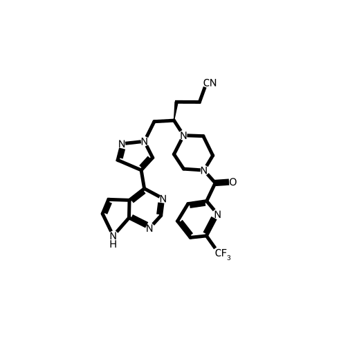 N#CCC[C@H](Cn1cc(-c2ncnc3[nH]ccc23)cn1)N1CCN(C(=O)c2cccc(C(F)(F)F)n2)CC1